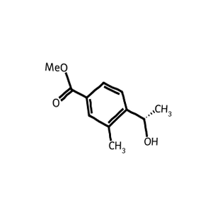 COC(=O)c1ccc([C@H](C)O)c(C)c1